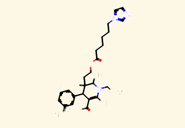 COCN1C(C)=C(C(=O)OC)C(c2cccc([N+](=O)[O-])c2)C(CCOC(=O)CCCCCn2ccnc2)(C(=O)O)C1C